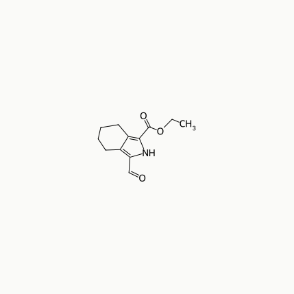 CCOC(=O)c1[nH]c(C=O)c2c1CCCC2